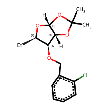 CC[C@H]1O[C@@H]2OC(C)(C)O[C@@H]2[C@H]1OCc1ccccc1Cl